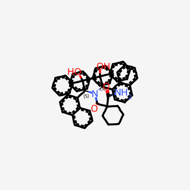 NC(=O)C1(C(=O)N([C@@H](c2cccc3ccccc23)C(O)(c2ccccc2)c2ccccc2)[C@@H](c2cccc3ccccc23)C(O)(c2ccccc2)c2ccccc2)CCCCC1